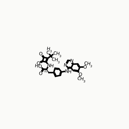 COc1cc2ncnc(Nc3ccc(C[C@H](Nc4c(C(C)(C)C)c(=O)c4=O)C(=O)O)cc3)c2cc1OC